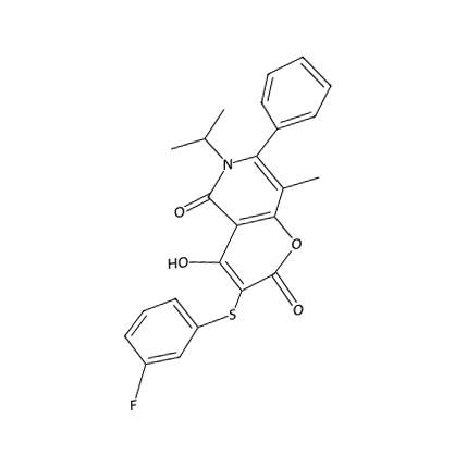 Cc1c(-c2ccccc2)n(C(C)C)c(=O)c2c(O)c(Sc3cccc(F)c3)c(=O)oc12